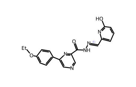 CCOc1ccc(-c2cncc(C(=O)N/N=C/c3cccc(O)n3)n2)cc1